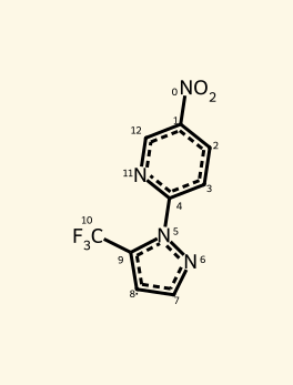 O=[N+]([O-])c1ccc(-n2nc[c]c2C(F)(F)F)nc1